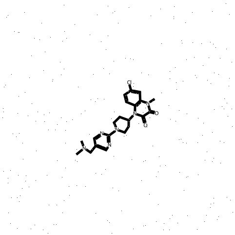 CN(C)Cc1cnc(N2CCC(n3c(=O)c(=O)n(C)c4cc(Cl)ccc43)CC2)nc1